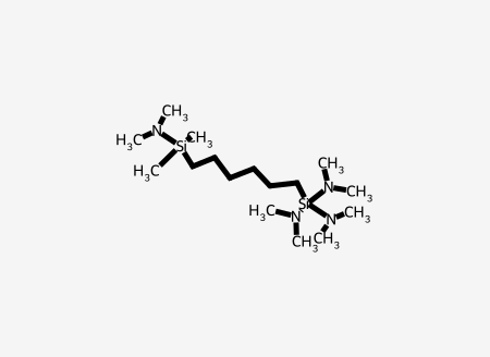 CN(C)[Si](C)(C)CCCCCC[Si](N(C)C)(N(C)C)N(C)C